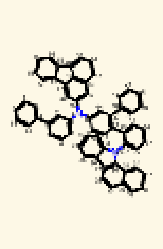 c1ccc(-c2cccc(N(c3ccc(-c4ccccc4-n4c5ccccc5c5ccc6ccccc6c54)c(-c4ccccc4)c3)c3cc4c5c(cccc5c3)-c3ccccc3-4)c2)cc1